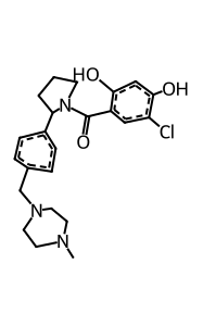 CN1CCN(Cc2ccc(C3CCCN3C(=O)c3cc(Cl)c(O)cc3O)cc2)CC1